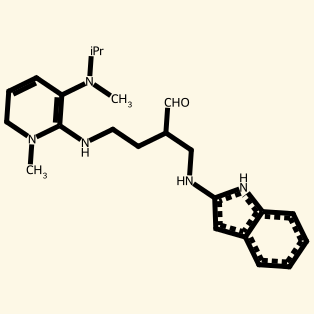 CC(C)N(C)C1=C(NCCC(C=O)CNc2cc3ccccc3[nH]2)N(C)CC=C1